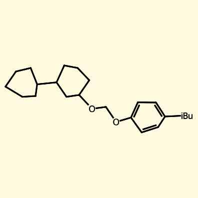 CCC(C)c1ccc(OCOC2CCCC(C3CCCCC3)C2)cc1